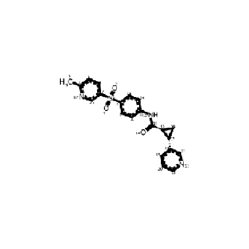 Cc1ccc(S(=O)(=O)c2ccc(NC(=O)[C@H]3C[C@@H]3c3cccnc3)cc2)cn1